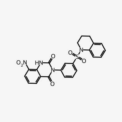 O=c1[nH]c2c([N+](=O)[O-])cccc2c(=O)n1-c1cccc(S(=O)(=O)N2CCCc3ccccc32)c1